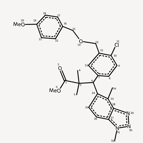 COC(=O)C(C)(C)C(c1ccc(Cl)c(COCc2ccc(OC)cc2)c1)c1ccc2c(nnn2C)c1C